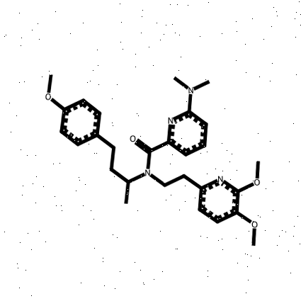 COc1ccc(CCC(C)N(CCc2ccc(OC)c(OC)n2)C(=O)c2cccc(N(C)C)n2)cc1